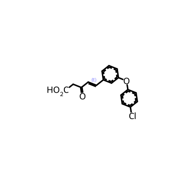 O=C(O)CC(=O)/C=C/c1cccc(Oc2ccc(Cl)cc2)c1